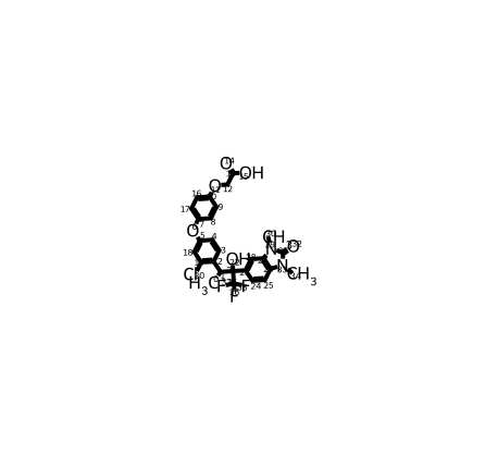 CC(c1ccc(Oc2ccc(OCC(=O)O)cc2)cc1Cl)C(O)(c1ccc2c(c1)n(C)c(=O)n2C)C(F)(F)F